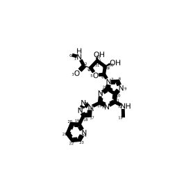 CNC(=O)[C@H]1OC(n2cnc3c(NC)nc(-n4cc(-c5ccccn5)nn4)nc32)[C@H](O)[C@@H]1O